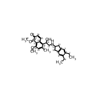 CCc1cc2c(cc1CC)CC(NCC(O)c1c(C)cc(OC)c3c1ccc(=O)n3OC)C2